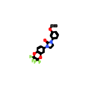 O=COc1cccc(N2CCN(c3ccc4c(c3)OC(F)(F)C(F)(F)O4)C2=O)c1